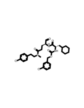 CN(CCc1ccc(Cl)cc1)C(=O)CC[C@@H](C=O)NC(=O)[C@H](CC1CCCCC1)NC(=O)OCc1cccc(Cl)c1